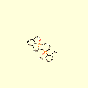 CCCCc1cccc(CCCC)c1P1(=O)C2=CC=C3C1=C2P3(=O)c1c(CCCC)cccc1CCCC